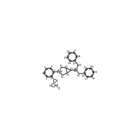 COc1ccccc1N1CC2C(C1)C2N(Cc1ccccc1)Cc1ccccc1